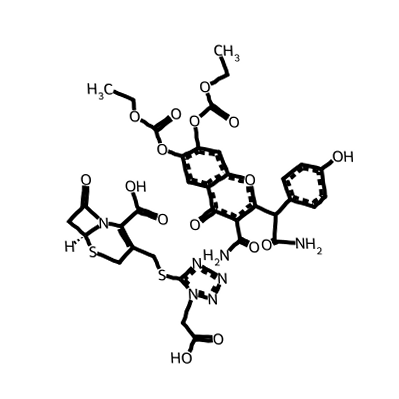 CCOC(=O)Oc1cc2oc(C(C(N)=O)c3ccc(O)cc3)c(C(N)=O)c(=O)c2cc1OC(=O)OCC.O=C(O)Cn1nnnc1SCC1=C(C(=O)O)N2C(=O)C[C@@H]2SC1